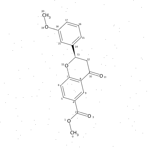 COC(=O)c1ccc2c(c1)C(=O)C[C@H](c1cccc(OC)c1)O2